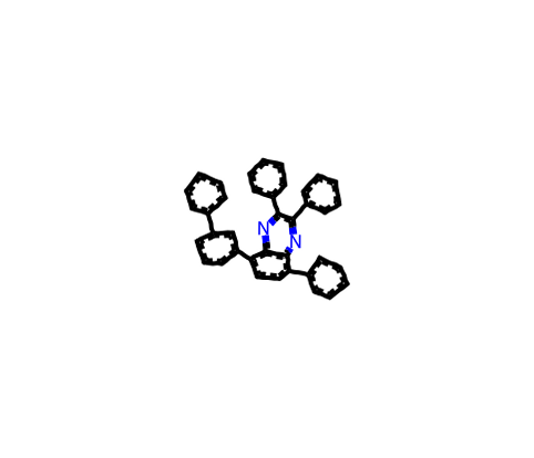 c1ccc(-c2cccc(-c3ccc(-c4ccccc4)c4nc(-c5ccccc5)c(-c5ccccc5)nc34)c2)cc1